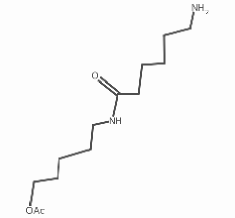 CC(=O)OCCCCCNC(=O)CCCCCN